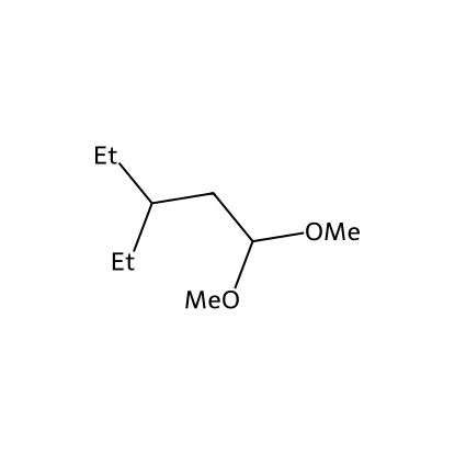 CCC(CC)CC(OC)OC